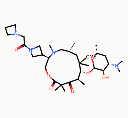 CO[C@]1(C)C[C@@H](C)CN(C)[C@H](C2CN(C(=O)CN3CCC3)C2)COC(=O)C(C)(C)C(=O)[C@H](C)[C@H]1O[C@H]1O[C@H](C)C[C@H](N(C)C)[C@H]1O